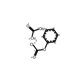 CC(=O)O.O=C(Cl)Oc1ccccc1